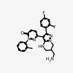 Cc1ccccc1-n1nc(-c2c(-c3ccc(F)cc3F)nn3c2NCC(CN)C3)ccc1=O